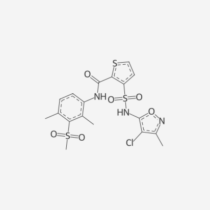 Cc1ccc(NC(=O)c2sccc2S(=O)(=O)Nc2onc(C)c2Cl)c(C)c1S(C)(=O)=O